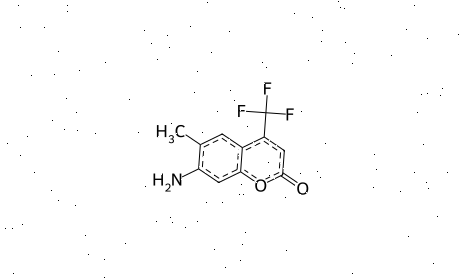 Cc1cc2c(C(F)(F)F)cc(=O)oc2cc1N